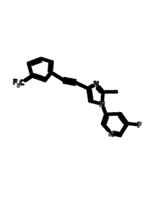 Cc1nc(C#Cc2cccc(C(F)(F)F)c2)cn1-c1cncc(F)c1